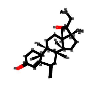 C=C1C[C@@H]2[C@H](CC[C@@]3(C)[C@H]2CC[C@]3(OC(C)=O)C(=O)COC(C)=O)[C@@]2(C)CCC(=O)C=C12